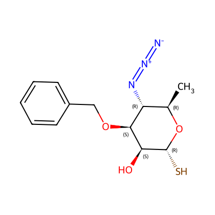 C[C@H]1O[C@H](S)[C@@H](O)[C@@H](OCc2ccccc2)[C@@H]1N=[N+]=[N-]